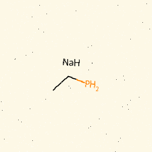 CCP.[NaH]